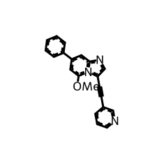 COc1cc(-c2ccccc2)cc2ncc(C#Cc3cccnc3)n12